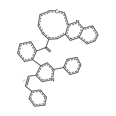 C=C(c1ccccccc2nc3ccccc3cc2c1)c1ccccc1-c1cc(-c2ccccc2)ncc1/C=C\c1ccccc1